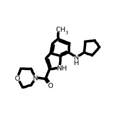 Cc1cc(NC2CCCC2)c2[nH]c(C(=O)N3CCOCC3)cc2c1